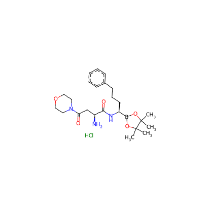 CC1(C)OB([C@H](CCCc2ccccc2)NC(=O)[C@@H](N)CC(=O)N2CCOCC2)OC1(C)C.Cl